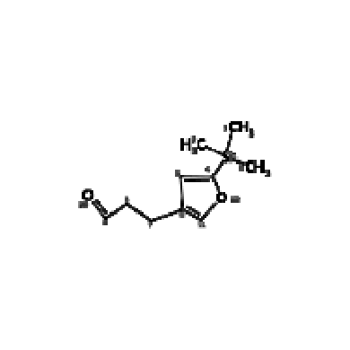 C[Si](C)(C)c1cc(CCC=O)co1